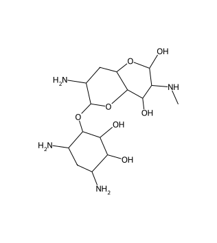 CNC1C(O)OC2CC(N)C(OC3C(N)CC(N)C(O)C3O)OC2C1O